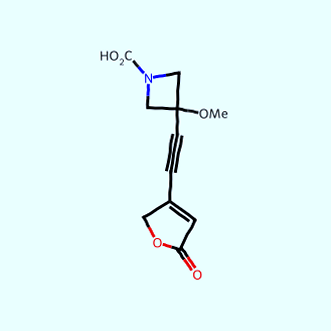 COC1(C#CC2=CC(=O)OC2)CN(C(=O)O)C1